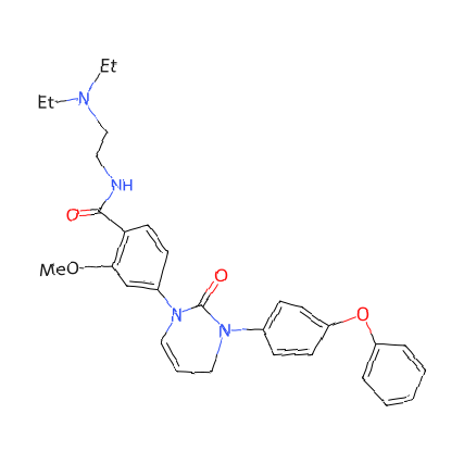 CCN(CC)CCNC(=O)c1ccc(N2C=CCN(c3ccc(Oc4ccccc4)cc3)C2=O)cc1OC